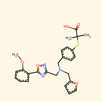 COc1ccccc1-c1nc(CN(Cc2ccc(SC(C)(C)C(=O)O)cc2)Cc2ccco2)no1